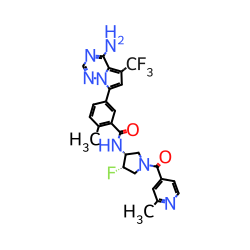 Cc1cc(C(=O)N2C[C@H](F)[C@H](NC(=O)c3cc(-c4cc(C(F)(F)F)c5c(N)ncnn45)ccc3C)C2)ccn1